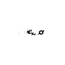 COc1ccc(COCC(C)(C)c2cc(N)nn2C)cc1